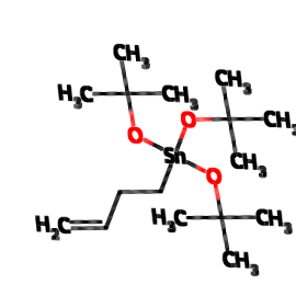 C=CC[CH2][Sn]([O]C(C)(C)C)([O]C(C)(C)C)[O]C(C)(C)C